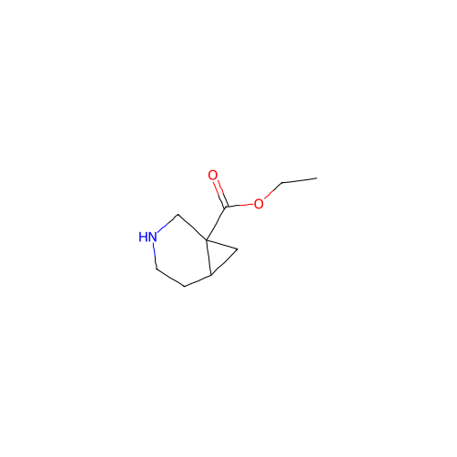 CCOC(=O)C12CNCCC1C2